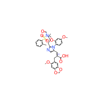 CCCCc1ncc(/C=C(\Cc2cc3c(cc2OC)OCO3)C(=O)O)n1-c1ccc(OC)cc1OCN(C=O)S(=O)(=O)c1ccccc1C